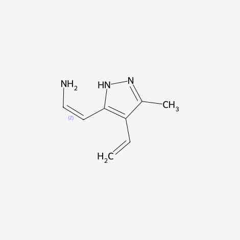 C=Cc1c(C)n[nH]c1/C=C\N